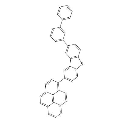 c1ccc(-c2cccc(-c3ccc4sc5ccc(-c6ccc7ccc8cccc9ccc6c7c89)cc5c4c3)c2)cc1